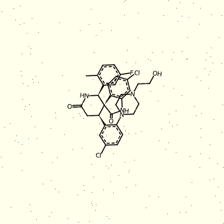 Cc1ccc(F)cc1[C@@H]1NC(=O)C[C@H](c2cc(Cl)ccc2N2CCN(CCO)CC2)[C@@]12C(=O)Nc1cc(Cl)ccc12